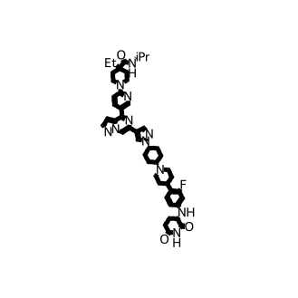 CCC1(C(=O)NC(C)C)CCN(c2ccc(-c3nc(-c4cnn([C@H]5CC[C@H](N6CCC(c7ccc(NC8CCC(=O)NC8=O)cc7F)CC6)CC5)c4)cn4nccc34)cn2)CC1